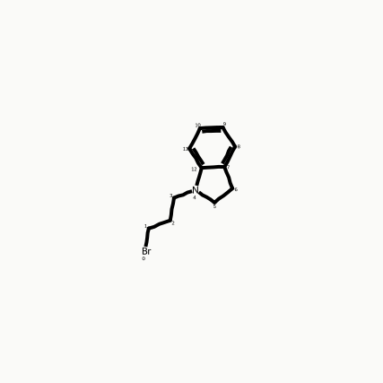 BrCCCN1CCc2ccccc21